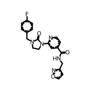 O=C(NCc1ccon1)c1ccnc(N2CCN(Cc3ccc(F)cc3)C2=O)c1